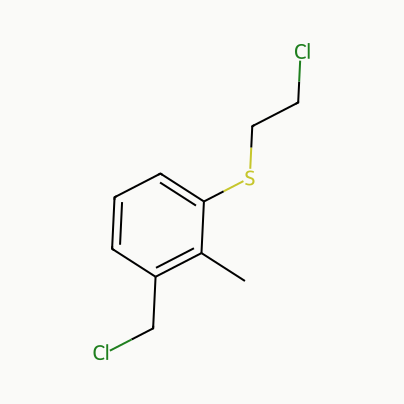 Cc1c(CCl)cccc1SCCCl